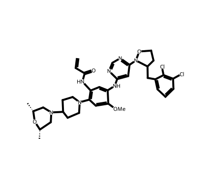 C=CC(=O)Nc1cc(Nc2cc(N3OCCC3Cc3cccc(Cl)c3Cl)ncn2)c(OC)cc1N1CCC(N2C[C@@H](C)O[C@@H](C)C2)CC1